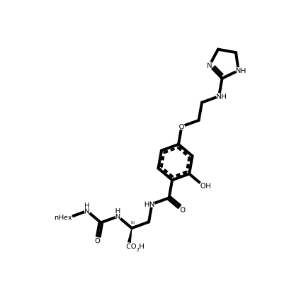 CCCCCCNC(=O)N[C@@H](CNC(=O)c1ccc(OCCNC2=NCCN2)cc1O)C(=O)O